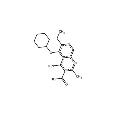 CCc1ccc2nc(C)c(C(=O)O)c(N)c2c1OC1CCCCC1